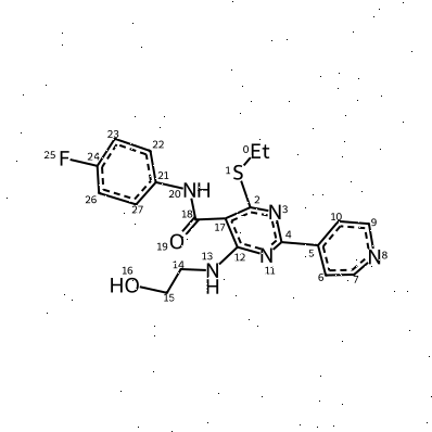 CCSc1nc(-c2ccncc2)nc(NCCO)c1C(=O)Nc1ccc(F)cc1